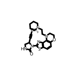 CC#CC1CNC(=O)N1c1nc2c3c(ccc2s1)OCCN3CCN1CCCCC1